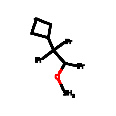 CC(C)C(O[SiH3])C(C(C)C)(C(C)C)C1C[CH]C1